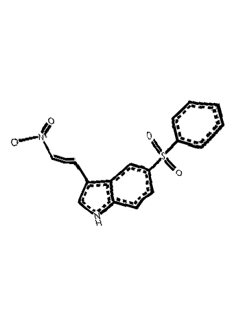 O=[N+]([O-])C=Cc1c[nH]c2ccc(S(=O)(=O)c3ccccc3)cc12